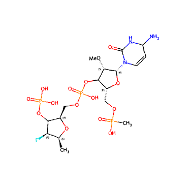 CO[C@H]1C(OP(=O)(O)OC[C@H]2O[C@@H](C)[C@@H](F)C2OP(=O)(O)O)[C@@H](COP(C)(=O)O)O[C@H]1N1C=CC(N)NC1=O